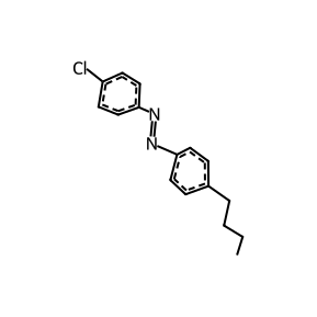 CCCCc1ccc(N=Nc2ccc(Cl)cc2)cc1